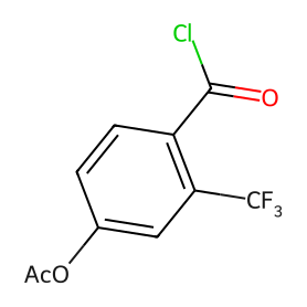 CC(=O)Oc1ccc(C(=O)Cl)c(C(F)(F)F)c1